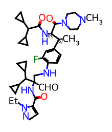 CCn1nccc1C(=O)NC(C=O)(CNc1ccc([C@H](C)[C@@H](NC(=O)C(C2CC2)C2CC2)C(=O)N2CCN(C)CC2)cc1F)C(C1CC1)C1CC1